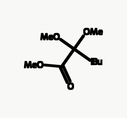 CCC(C)C(OC)(OC)C(=O)OC